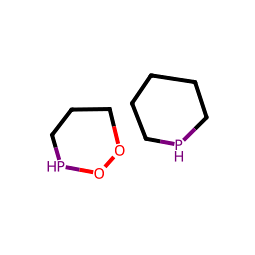 C1CCPCC1.C1COOPC1